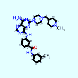 CN1CCC(CN2CCN(c3nc(N)c4ncnc(Nc5cccc(C(=O)Nc6cccc(C(F)(F)F)c6)c5)c4n3)CC2)CC1